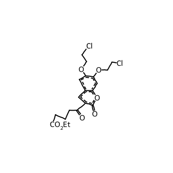 CCOC(=O)CCCC(=O)c1cc2cc(OCCCl)c(OCCCl)cc2oc1=O